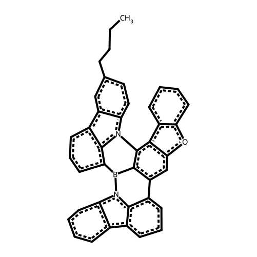 CCCCc1ccc2c(c1)c1cccc3c1n2-c1c2c(cc4oc5ccccc5c14)-c1cccc4c5ccccc5n(c14)B23